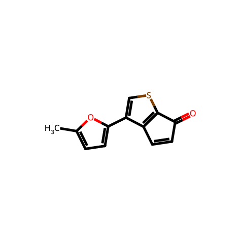 Cc1ccc(-c2csc3c2C=CC3=O)o1